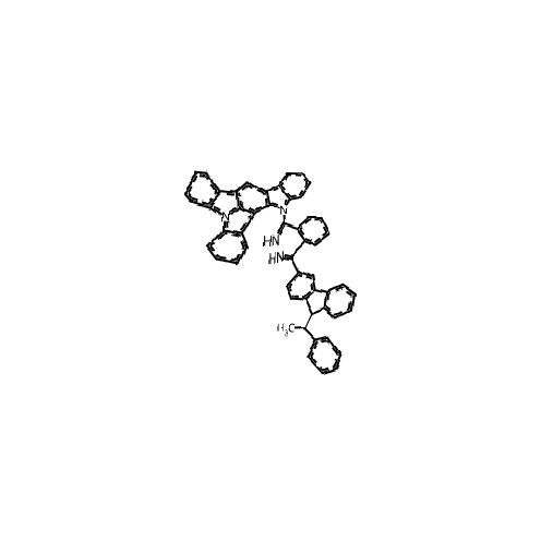 CC(c1ccccc1)C1c2ccccc2-c2cc(C(=N)c3ccccc3C(=N)n3c4ccccc4c4cc5c6ccccc6n6c7ccccc7c(c43)c56)ccc21